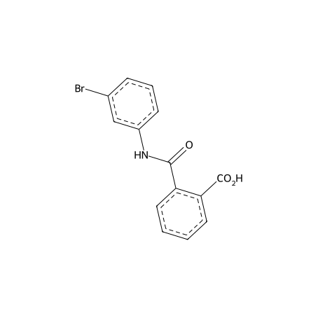 O=C(O)c1ccccc1C(=O)Nc1cccc(Br)c1